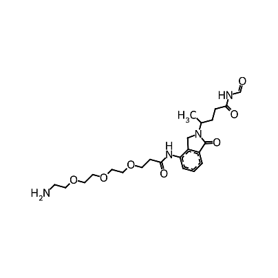 CC(CCC(=O)NC=O)N1Cc2c(NC(=O)CCOCCOCCOCCN)cccc2C1=O